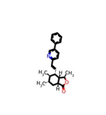 C[C@H]1[C@H](/C=C/c2ccc(-c3ccccc3)cn2)[C@@H]2[C@@H](C)OC(=O)[C@@H]2C[C@@H]1C